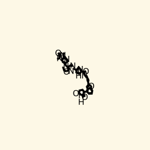 Cn1c(=O)n(C)c2ncc(N3CCOc4nc(-c5ccc(C(=O)NCC#Cc6cc7c(C8CCC(=O)NC8=O)cccc7o6)nc5)ncc43)cc21